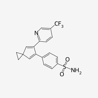 NS(=O)(=O)c1ccc(C2=CC3(C=C2c2ccc(C(F)(F)F)cn2)CC3)cc1